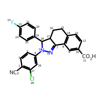 N#Cc1ccc(N2N=C3c4cc(C(=O)O)ccc4CCC3C2c2ccc(F)cc2)cc1Cl